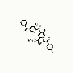 C=C(c1cccnc1)c1cnc(Oc2cc(C(=O)OC)c(N(C(=O)[C@H]3CC[C@H](C)CC3)C(C)C)cc2F)c(C(F)(F)F)c1